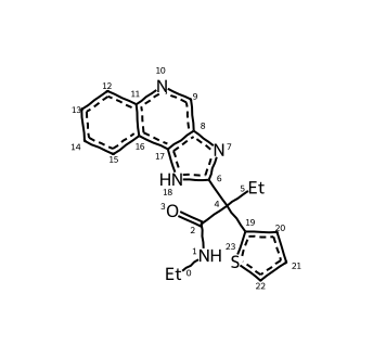 CCNC(=O)C(CC)(c1nc2cnc3ccccc3c2[nH]1)c1cccs1